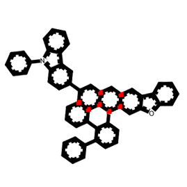 c1ccc(-c2ccccc2-c2c(-c3ccccc3)cccc2N(c2ccc(-c3ccc4c(c3)c3ccccc3n4-c3ccccc3)cc2)c2ccc3c(c2)oc2ccccc23)cc1